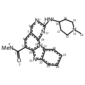 CNC(=O)c1cc2cnc(NC3CCN(C)CC3)nc2n2c1nc1ccccc12